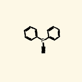 C#CP(c1ccccc1)c1ccccc1